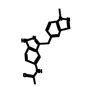 CC(=O)Nc1ccc2[nH]nc(Cc3ccc4c(cnn4C)c3)c2c1